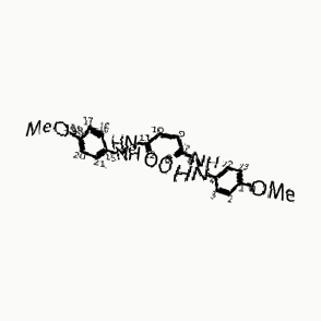 COc1ccc(NNC(=O)/C=C\C(=O)NNc2ccc(OC)cc2)cc1